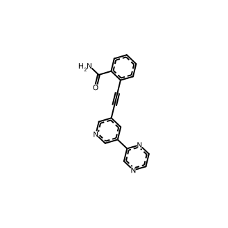 NC(=O)c1ccccc1C#Cc1cncc(-c2cnccn2)c1